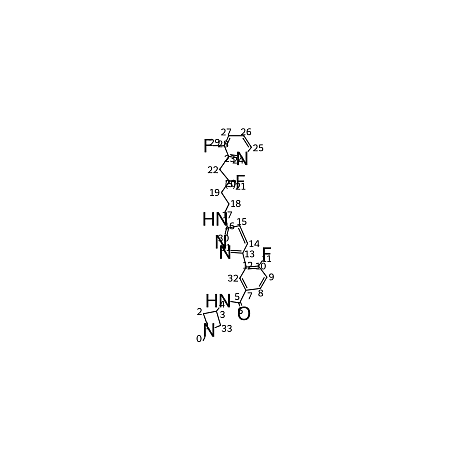 CN1CC(NC(=O)c2ccc(F)c(-c3ccc(NCC[C@H](F)Cc4ncccc4F)nn3)c2)C1